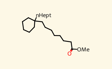 CCCCCCCC1(CCCCCCCC(=O)OC)CCCCC1